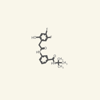 CC(C)(C)NC(=O)c1cccc(NC(=O)Cc2cc(F)c(F)cc2O)c1